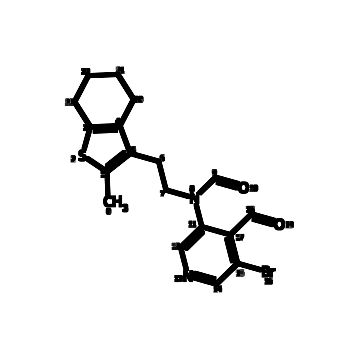 Cc1sc2c(c1CCN(C=O)c1cncc(Br)c1C=O)CCCC2